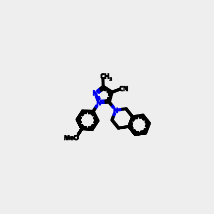 COc1ccc(-n2nc(C)c(C#N)c2N2CCc3ccccc3C2)cc1